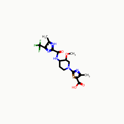 COC1CN(c2nc(C)c(C(=O)O)s2)CCC1NC(=O)c1nc(C(F)(F)F)c(C)[nH]1